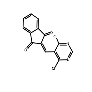 O=C1C(=Cc2c(Cl)ncnc2Cl)C(=O)c2ccccc21